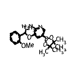 COc1ccccc1C(C)Oc1cc(B2OC(C)(C)C(C)(C)O2)cnc1N